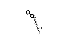 COCCNCCOCCOc1ccc(C2CCCCC2)cc1